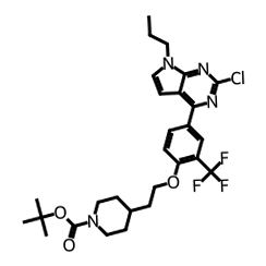 CCCn1ccc2c(-c3ccc(OCCC4CCN(C(=O)OC(C)(C)C)CC4)c(C(F)(F)F)c3)nc(Cl)nc21